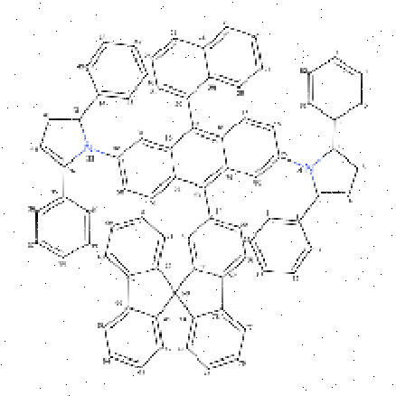 C1=CCC(C2CC=C(c3ccccc3)N2c2ccc3c(-c4cccc5ccccc45)c4cc(-n5c(-c6ccccc6)ccc5-c5ccccc5)ccc4c(-c4ccc5c(c4)C4(c6ccccc6-c6ccccc64)c4ccccc4-5)c3c2)C=C1